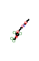 CCCCOCC=NOCCCCCOc1c(Cl)cc(OCC=C(Cl)Cl)cc1Cl